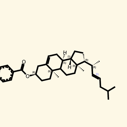 CC(C)C/C=C/[C@@H](C)[C@H]1CC[C@H]2[C@@H]3CC=C4C[C@H](OC(=O)c5ccccc5)CC[C@]4(C)C3CC[C@]12C